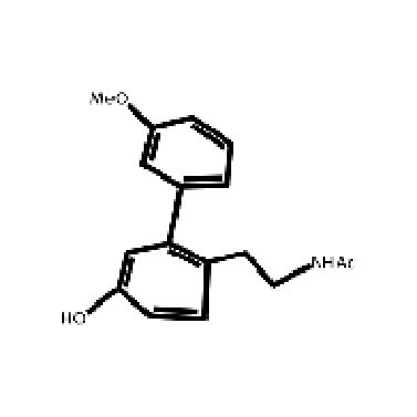 COc1cccc(-c2cc(O)ccc2CCNC(C)=O)c1